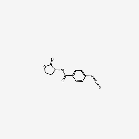 O=C(NC1CCOC1=O)c1ccc(N=C=S)cc1